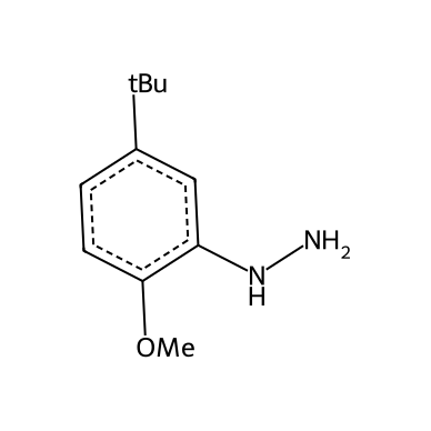 COc1ccc(C(C)(C)C)cc1NN